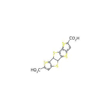 O=C(O)c1cc2c(s1)C1Sc3c(sc4cc(C(=O)O)sc34)C1S2